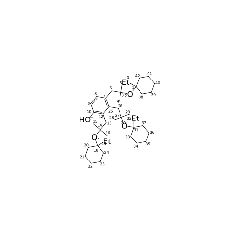 CCC1(OC(C)(C)Cc2ccc(O)c(CC(C)(C)OC3(CC)CCCCC3)c2CC(C)(C)OC2(CC)CCCCC2)CCCCC1